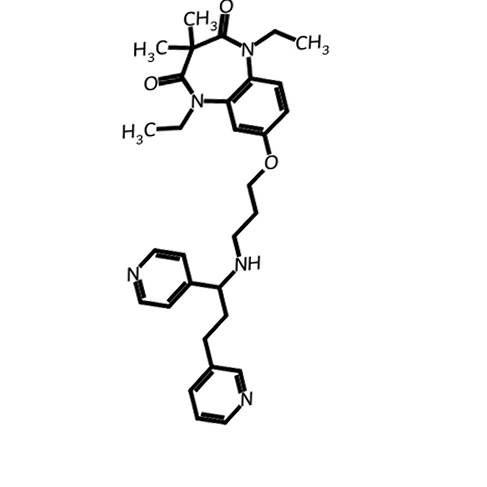 CCN1C(=O)C(C)(C)C(=O)N(CC)c2cc(OCCCNC(CCc3cccnc3)c3ccncc3)ccc21